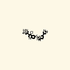 CN/C=C(\C=N)c1cnc2ccc(Sc3nnc4ccc(-c5cnn(C)c5)cn34)cc2c1Cl